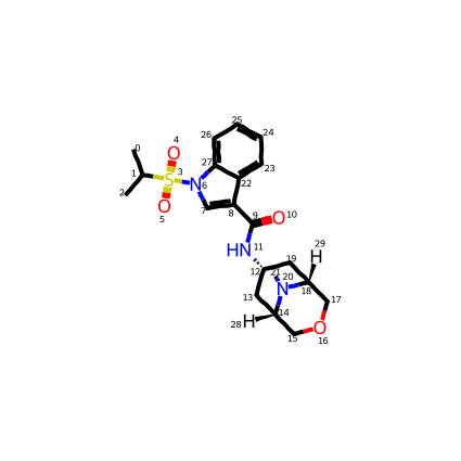 CC(C)S(=O)(=O)n1cc(C(=O)N[C@H]2C[C@H]3COC[C@@H](C2)N3C)c2ccccc21